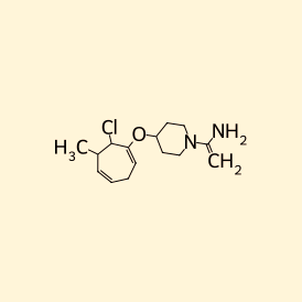 C=C(N)N1CCC(OC2=CCC=CC(C)C2Cl)CC1